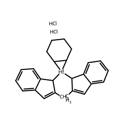 CC1=Cc2ccccc2[CH]1[Hf]1([CH]2C(C)=Cc3ccccc32)[CH]2CCCC[CH]21.Cl.Cl